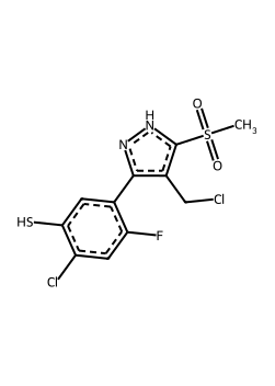 CS(=O)(=O)c1[nH]nc(-c2cc(S)c(Cl)cc2F)c1CCl